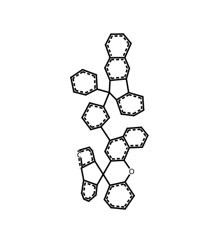 c1ccc(C2(c3cccc(-c4cc5c(c6ccccc46)Oc4ccccc4C54c5ccccc5-c5ccccc54)c3)c3ccccc3-c3cc4ccccc4cc32)cc1